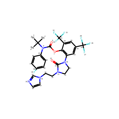 [2H]C([2H])([2H])N(C(=O)Oc1c(N2CCN(CCn3ccnc3)C2=O)cc(C(F)(F)F)cc1C(F)(F)F)c1ccc(F)cc1